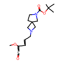 COC(=C=O)/C=C/CN1CC2(CCN(C(=O)OC(C)(C)C)C2)C1